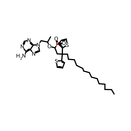 CCCCCCCCCCCCCCC(CC(OC(C)Cn1cnc2c(N)ncnc21)P(=O)=O)(c1cccs1)c1cccs1